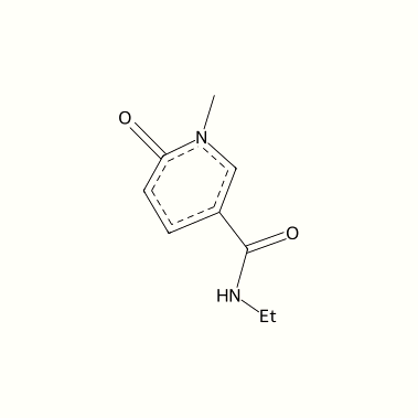 CCNC(=O)c1ccc(=O)n(C)c1